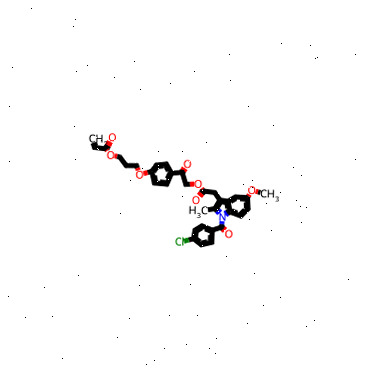 C=CC(=O)OCCCOc1ccc(C(=O)COC(=O)Cc2c(C)n(C(=O)c3ccc(Cl)cc3)c3ccc(OC)cc23)cc1